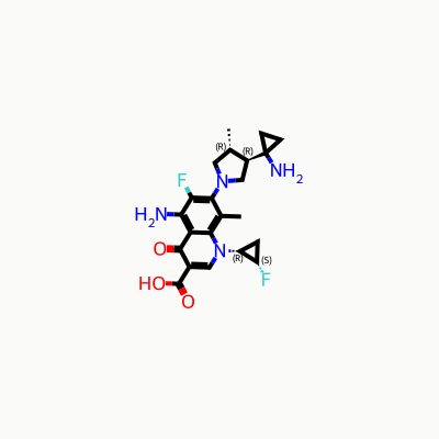 Cc1c(N2C[C@H](C)[C@@H](C3(N)CC3)C2)c(F)c(N)c2c(=O)c(C(=O)O)cn([C@@H]3C[C@@H]3F)c12